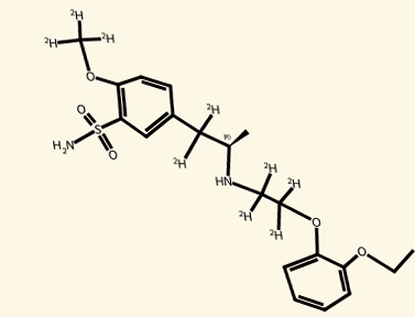 [2H]C([2H])([2H])Oc1ccc(C([2H])([2H])[C@@H](C)NC([2H])([2H])C([2H])([2H])Oc2ccccc2OCC)cc1S(N)(=O)=O